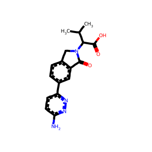 CC(C)C(C(=O)O)N1Cc2ccc(-c3ccc(N)nn3)cc2C1=O